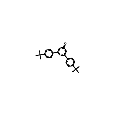 CC(C)(C)c1ccc(-c2cc(=O)cc(-c3ccc(C(C)(C)C)cc3)s2)cc1